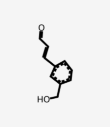 O=C/C=C/c1cccc(CO)c1